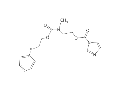 CN(CCOC(=O)n1ccnc1)C(=O)OCCSc1ccccc1